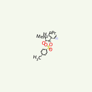 C=C(/C=C\CCC)[C@H](OS(=O)(=O)c1ccc(C)cc1)C(=O)NC